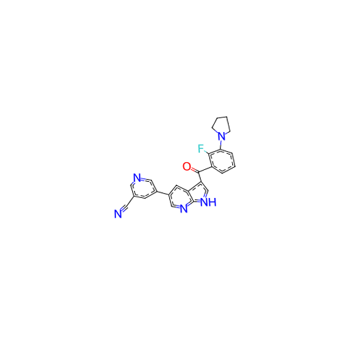 N#Cc1cncc(-c2cnc3[nH]cc(C(=O)c4cccc(N5CCCC5)c4F)c3c2)c1